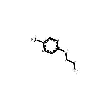 Nc1c[c]c(SCCO)cc1